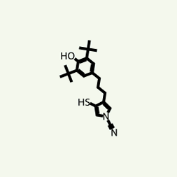 CC(C)(C)c1cc(CCCc2cn(C#N)cc2S)cc(C(C)(C)C)c1O